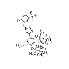 CCc1cc(-c2cn(Cc3cc(C(F)(F)F)ccc3F)nn2)c(O[Si](C)(C)C(C)(C)C)cc1O[Si](C)(C)C(C)(C)C